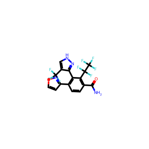 NC(=O)c1ccc(-c2ccon2)c(-c2n[nH]cc2C(F)(F)F)c1C(F)(F)C(F)(F)F